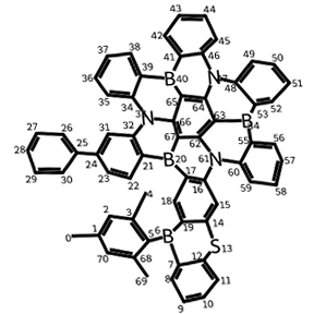 Cc1cc(C)c(B2c3ccccc3Sc3cc4c(cc32)B2c3ccc(-c5ccccc5)cc3N3c5ccccc5B5c6ccccc6N6c7ccccc7B7c8ccccc8N4c4c7c6c5c3c42)c(C)c1